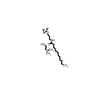 CCCCCCCCCCCC(=O)NCCCO[Cl+3]([O-])([O-])[O-].CN(C)CCO